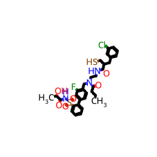 CCCC(=O)N(CCNC(=O)C(CS)Cc1cccc(Cl)c1)Cc1ccc(-c2ccccc2S(=O)(=O)NC(=O)C(C)O)cc1F